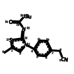 Cc1cn(-c2ccc(CC#N)cc2)c(=NC(=O)C(C)(C)C)s1